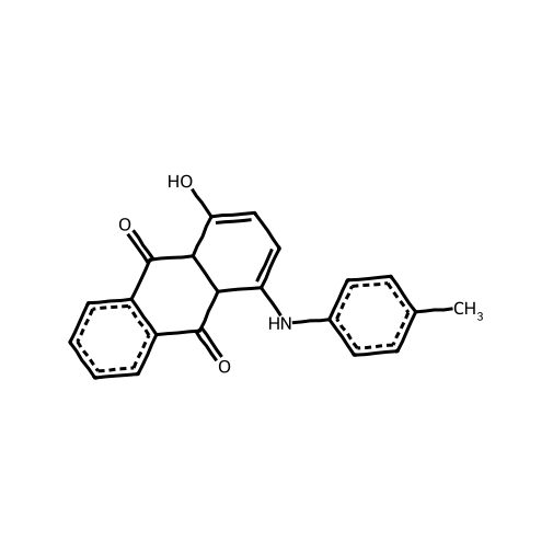 Cc1ccc(NC2=CC=C(O)C3C(=O)c4ccccc4C(=O)C23)cc1